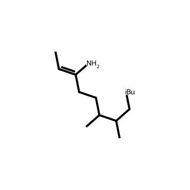 CC=C(N)CCC(C)C(C)CC(C)CC